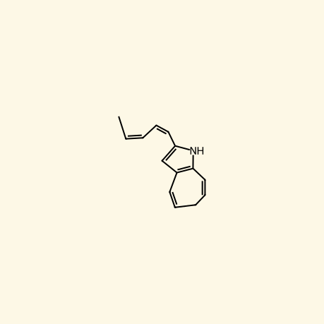 C/C=C\C=C/c1cc2c([nH]1)C=CCC=C2